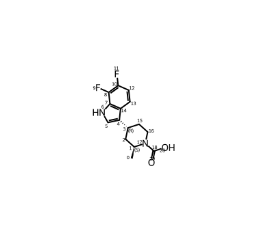 C[C@H]1C[C@H](c2c[nH]c3c(F)c(F)ccc23)CCN1C(=O)O